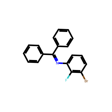 Fc1c(Br)cccc1N=C(c1ccccc1)c1ccccc1